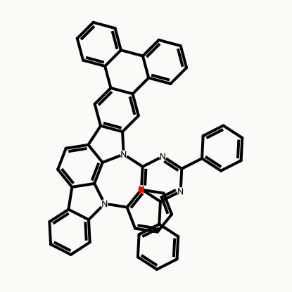 c1ccc(-c2nc(-c3ccccc3)nc(-n3c4cc5c6ccccc6c6ccccc6c5cc4c4ccc5c6ccccc6n(-c6ccccc6)c5c43)n2)cc1